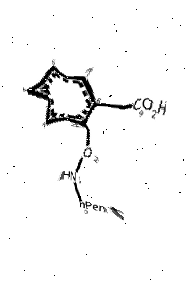 CCCCCNOc1ccccc1C(=O)O